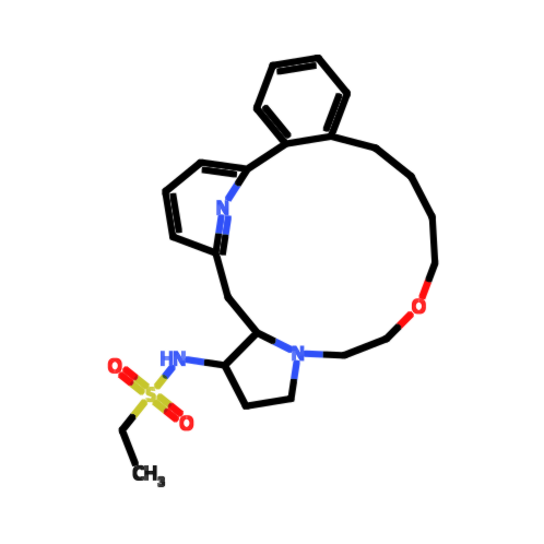 CCS(=O)(=O)NC1CCN2CCOCCCCc3ccccc3-c3cccc(n3)CC12